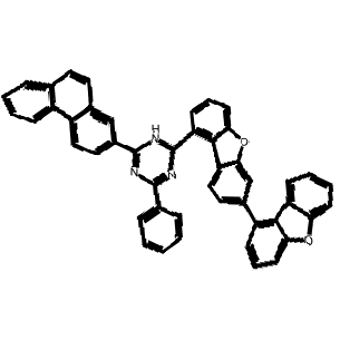 c1ccc(C2=NC(c3cccc4oc5cc(-c6cccc7oc8ccccc8c67)ccc5c34)NC(c3ccc4c(ccc5ccccc54)c3)=N2)cc1